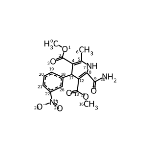 COC(=O)C1=C(C)NC(C(N)=O)=C(C(=O)OC)C1c1cccc([N+](=O)[O-])c1